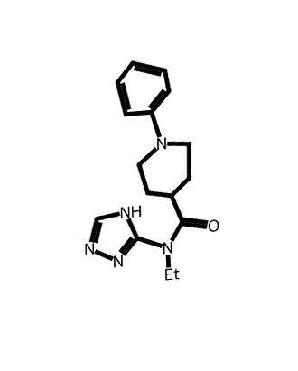 CCN(C(=O)C1CCN(c2ccccc2)CC1)c1nnc[nH]1